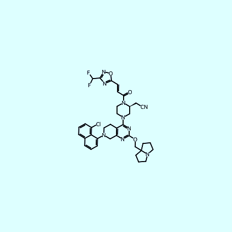 N#CC[C@H]1CN(c2nc(OCC34CCCN3CCC4)nc3c2CCN(c2cccc4cccc(Cl)c24)C3)CCN1C(=O)/C=C/c1nc(C(F)F)no1